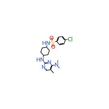 Cc1cnc(NC2CCC(NS(=O)(=O)c3ccc(Cl)cc3)CC2)nc1N(C)C